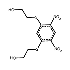 O=[N+]([O-])c1cc([N+](=O)[O-])c(SCCO)cc1SCCO